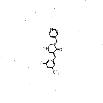 CN1C/C(=C\c2ccncc2)C(=O)/C(=C/c2cc(F)cc(C(F)(F)F)c2)C1